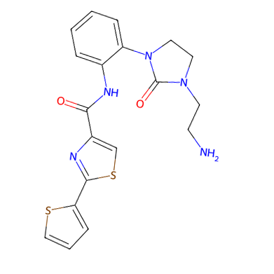 NCCN1CCN(c2ccccc2NC(=O)c2csc(-c3cccs3)n2)C1=O